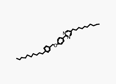 CCCCCCCCCCc1ccc(COc2ccc(-c3ncc(CCCCCCCCCC)cn3)cc2)cc1